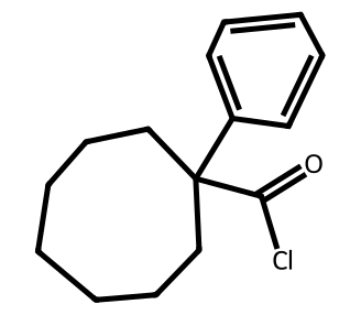 O=C(Cl)C1(c2ccccc2)CCCCCCC1